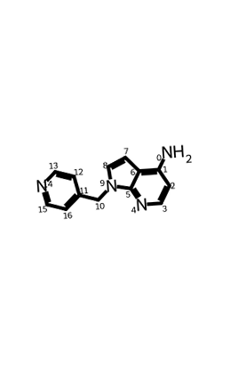 Nc1ccnc2c1ccn2Cc1ccncc1